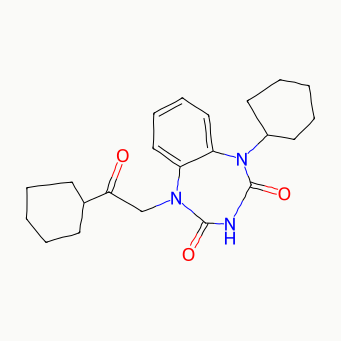 O=C(CN1C(=O)NC(=O)N(C2CCCCC2)c2ccccc21)C1CCCCC1